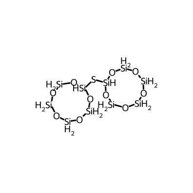 O1[SiH2]O[SiH2]O[SiH](S[SiH]2O[SiH2]O[SiH2]O[SiH2]O[SiH2]O2)O[SiH2]O[SiH2]1